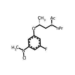 CCCI(C[C@@H](C)Oc1cc(F)cc(N(C)Cl)c1)C(C)=O